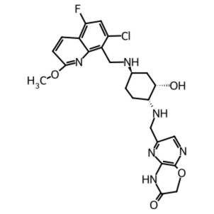 COc1ccc2c(F)cc(Cl)c(CN[C@@H]3CC[C@@H](NCc4cnc5c(n4)NC(=O)CO5)[C@@H](O)C3)c2n1